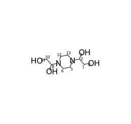 OCC(O)N1CCN(C(O)CO)CC1